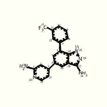 Nc1cc(-c2cc(-c3cccc(C(F)(F)F)c3)c3[nH]nc(N)c3c2)ccn1